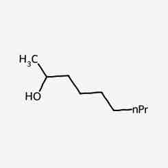 CCCCCCCC(C)O